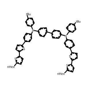 CCCCCCc1ccc(-c2ccc(-c3ccc(N(c4ccc(-c5ccc(N(c6ccc(-c7ccc(-c8ccc(CCCCCC)s8)s7)cc6)c6ccc(C(C)(C)C)cc6)cc5)cc4)c4ccc(C(C)(C)C)cc4)cc3)s2)s1